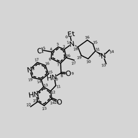 CCN(c1cc(Cl)cc(C(=O)NCc2c(-c3cccnc3)[nH]c(C)cc2=O)c1C)[C@H]1CC[C@H](N(C)C)CC1